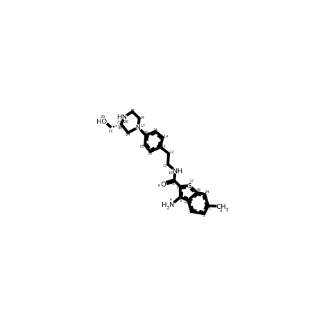 Cc1ccc2c(N)c(C(=O)NCCc3ccc(N4CCN[C@@H](CO)C4)cc3)sc2c1